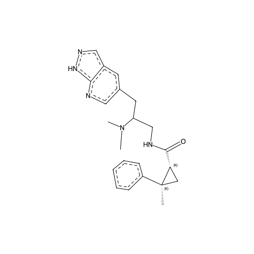 CN(C)C(CNC(=O)[C@@H]1C[C@@]1(C)c1ccccc1)Cc1cnc2[nH]ncc2c1